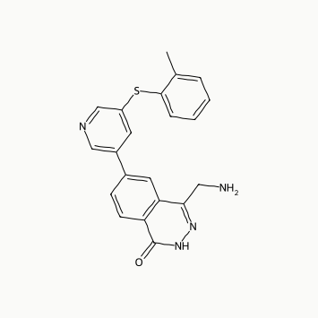 Cc1ccccc1Sc1cncc(-c2ccc3c(=O)[nH]nc(CN)c3c2)c1